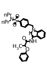 CCCN(CCC)S(=O)(=O)c1ccc(Cn2nc(NC(=O)C(C)Oc3ccccc3)c3ccccc32)cc1